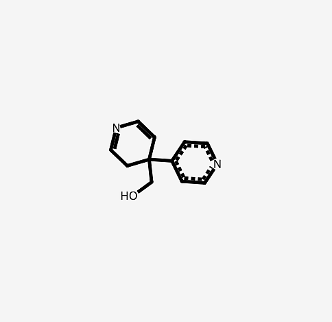 OCC1(c2ccncc2)C=CN=CC1